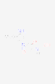 CCN(CCO)C1=CC(=O)C(Nc2ccc(N)c(OC)c2)=CC1=O